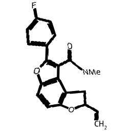 C=CC1Cc2c(ccc3oc(-c4ccc(F)cc4)c(C(=O)NC)c23)O1